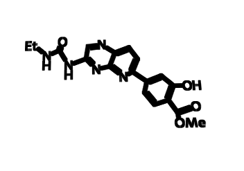 CCNC(=O)Nc1cnc2ccc(-c3ccc(C(=O)OC)c(O)c3)nc2n1